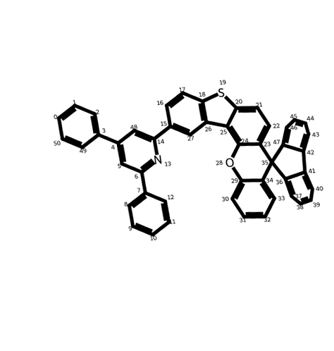 c1ccc(-c2cc(-c3ccccc3)nc(-c3ccc4sc5ccc6c(c5c4c3)Oc3ccccc3C63c4ccccc4-c4ccccc43)c2)cc1